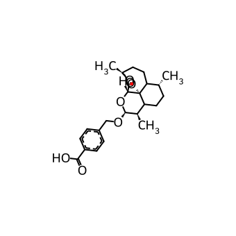 C[C@@H]1CCC2[C@@H](C)[C@@H](OCc3ccc(C(=O)O)cc3)O[C@@H]3O[C@@]4(C)CCC1[C@@]23OO4